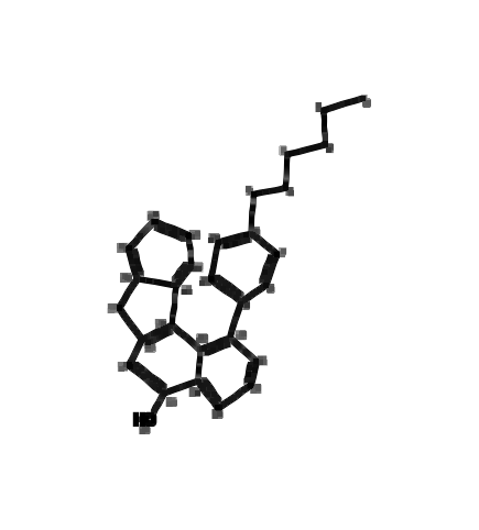 CCCCCCc1ccc(-c2cccc3c(O)cc4c(c23)-c2ccccc2C4)cc1